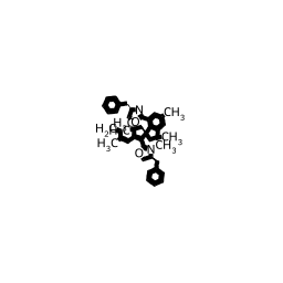 C=C/C(C)=C\C1=C(C2=N[C@@H](Cc3ccccc3)CO2)[C@@]2(CC1(C)C)CC(C)(C)c1cc(C)cc(C3=N[C@@H](Cc4ccccc4)CO3)c12